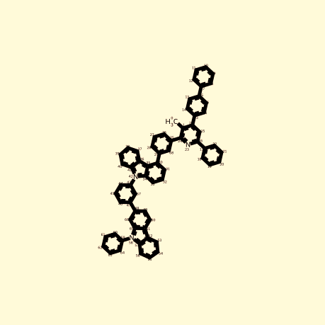 Cc1c(-c2ccc(-c3ccccc3)cc2)cc(-c2ccccc2)nc1-c1cccc(-c2cccc3c2c2ccccc2n3-c2cccc(-c3ccc4c5ccccc5n(-c5ccccc5)c4c3)c2)c1